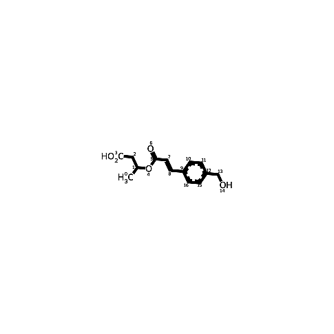 CC(CC(=O)O)OC(=O)C=Cc1ccc(CO)cc1